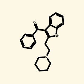 O=C(c1ccccc1)c1c(CCN2CCCCC2)[nH]c2ccccc12